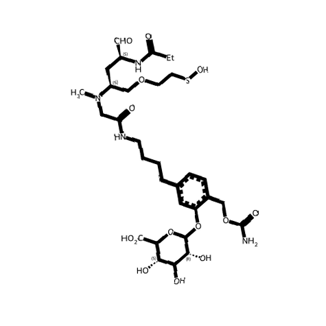 CCC(=O)N[C@H](C=O)C[C@@H](COCCSO)N(C)CC(=O)NCCCCc1ccc(COC(N)=O)c(OC2OC(C(=O)O)[C@@H](O)C(O)[C@H]2O)c1